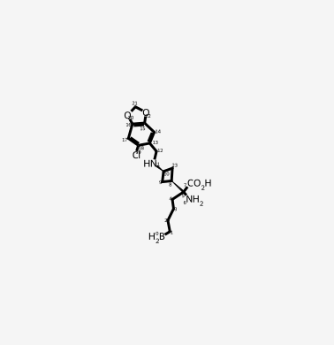 BCCCCC(N)(C(=O)O)[C@H]1C[C@@H](NCc2cc3c(cc2Cl)OCO3)C1